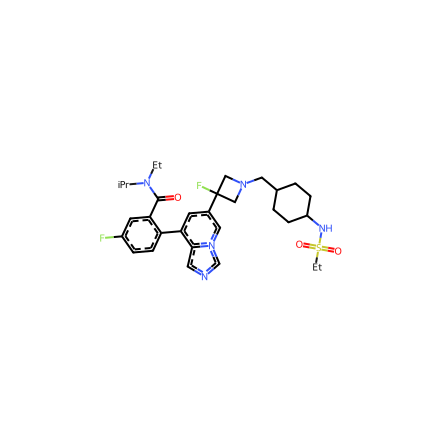 CCN(C(=O)c1cc(F)ccc1-c1cc(C2(F)CN(CC3CCC(NS(=O)(=O)CC)CC3)C2)cn2cncc12)C(C)C